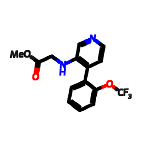 COC(=O)CNc1cnccc1-c1ccccc1OC(F)(F)F